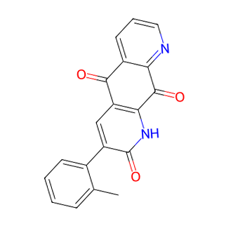 Cc1ccccc1-c1cc2c([nH]c1=O)C(=O)c1ncccc1C2=O